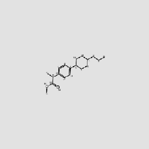 CCCC1CCC(c2ccc(C(C)C(=O)OC)cc2)CC1